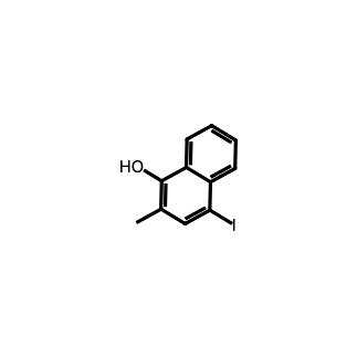 Cc1cc(I)c2ccccc2c1O